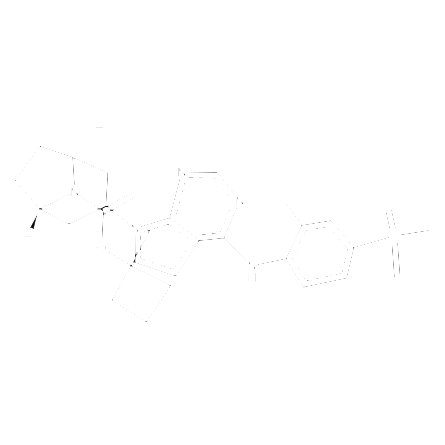 CC1(OC(=O)N2[C@H]3CC[C@H]2CC(n2ccc4c(Nc5ccc(S(C)(=O)=O)cc5F)ncnc42)C3)CCC1